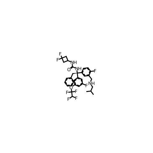 CC(C)CNCc1cc([C@@](Cc2ccccc2)(NC(=O)NC2CC(F)(F)C2)c2cc(F)cc(OC(F)(F)C(F)F)c2)ccc1F